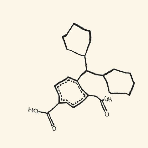 O=C(O)c1ccc(C(C2CCCCC2)C2CCCCC2)c(C(=O)O)c1